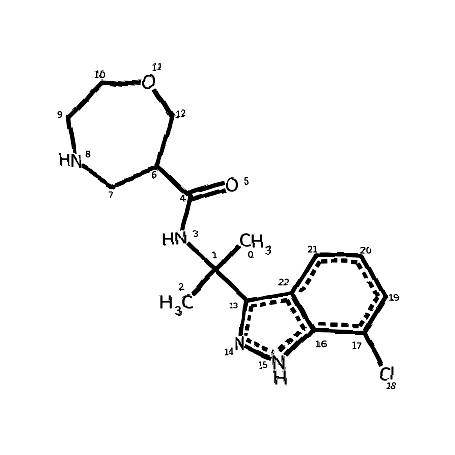 CC(C)(NC(=O)C1CNCCOC1)c1n[nH]c2c(Cl)cccc12